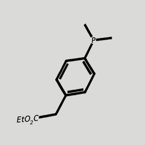 CCOC(=O)Cc1ccc(P(C)C)cc1